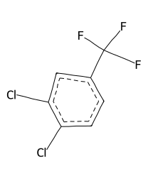 FC(F)(F)c1ccc(Cl)c(Cl)c1